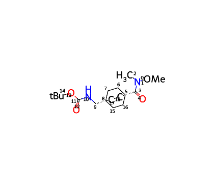 CON(C)C(=O)[C@]12CC[C@](CNC(=O)OC(C)(C)C)(CC1)CC2